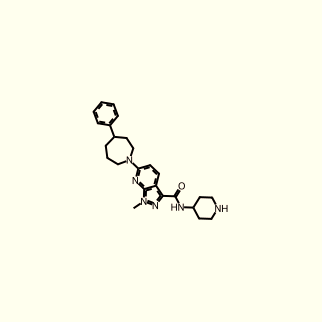 Cn1nc(C(=O)NC2CCNCC2)c2ccc(N3CCCC(c4ccccc4)CC3)nc21